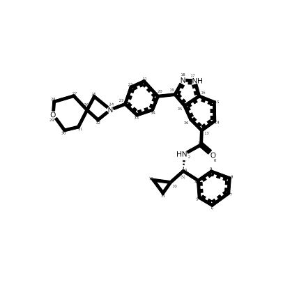 O=C(N[C@H](c1ccccc1)C1CC1)c1ccc2[nH]nc(-c3ccc(N4CC5(CCOCC5)C4)cc3)c2c1